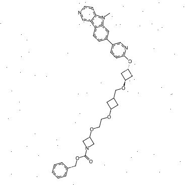 Cn1c2ccncc2c2ccc(-c3ccc(O[C@H]4C[C@H](OCC5CC(OCCOC6CN(C(=O)OCc7ccccc7)C6)C5)C4)nc3)cc21